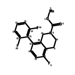 CC(C)(C)OC(=O)N1CCc2c(F)ccc(-c3c(F)cccc3F)c2C1